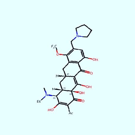 CCN(C)[C@@H]1C(O)=C(C(C)=O)C(=O)[C@@]2(O)C(O)=C3C(=O)c4c(O)cc(CN5CCCC5)c(OC(F)(F)F)c4C[C@H]3C[C@@H]12